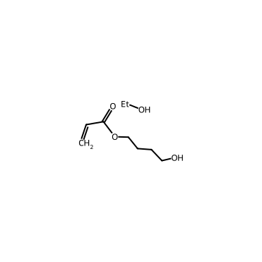 C=CC(=O)OCCCCO.CCO